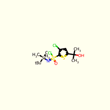 CC(C)(O)c1cc(Cl)c(S(=O)(Cl)=N[Si](C)(C)C(C)(C)C)s1